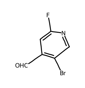 O=Cc1cc(F)ncc1Br